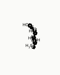 CN1CCC[C@H]1c1ccc(Nc2cc(-c3ccc(F)c(NC(=O)c4cc5c(s4)CC[C@H](O)C5)c3)n[nH]c2=O)nc1